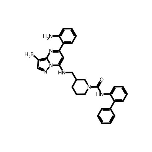 Bc1cnn2c(NCC3CCCN(C(=O)Nc4ccccc4-c4ccccc4)C3)cc(-c3ccccc3N)nc12